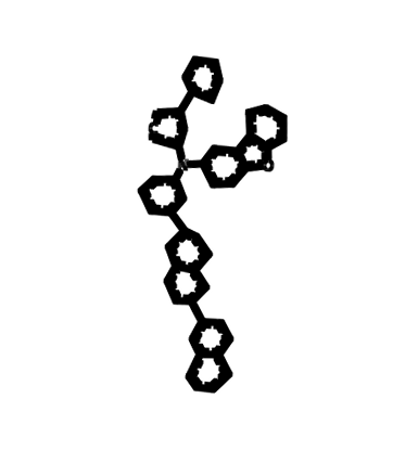 c1ccc(-c2cccc(N(c3cccc(-c4ccc5cc(-c6ccc7ccccc7c6)ccc5c4)c3)c3ccc4oc5ccccc5c4c3)c2)cc1